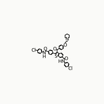 O=C(Nc1ccc(Cl)cc1)c1ccc(-c2sc3cc(C(=O)Nc4ccc(Cl)cc4)ccc3c2C(=O)c2ccc(OCCN3CCCCC3)cc2)cc1